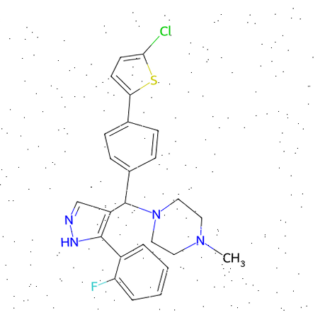 CN1CCN(C(c2ccc(-c3ccc(Cl)s3)cc2)c2cn[nH]c2-c2ccccc2F)CC1